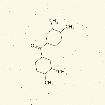 CC1CCC(C(=O)C2CCC(C)C(C)C2)CC1C